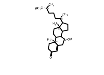 C[C@H](CCC[C@@H](C)C1CCC2C3C(CC[C@@]21C)[C@@]1(C)CCC(=O)C=C1C[C@H]3O)C(=O)O